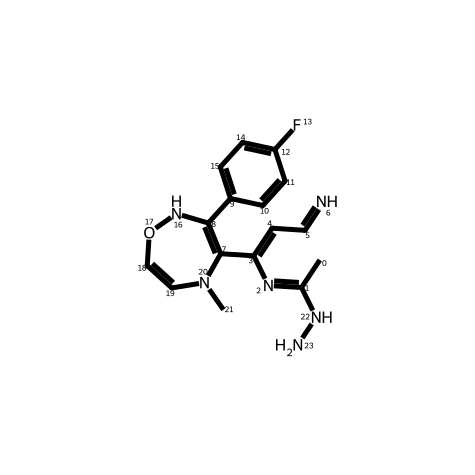 C/C(=N\C(=C/C=N)c1c(-c2ccc(F)cc2)[nH]occn1C)NN